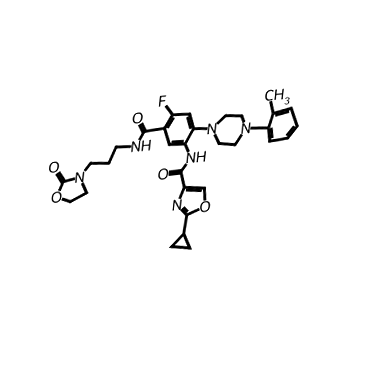 Cc1ccccc1N1CCN(c2cc(F)c(C(=O)NCCCN3CCOC3=O)cc2NC(=O)c2coc(C3CC3)n2)CC1